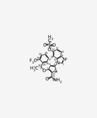 C[C@@H](Oc1cc(-n2cnc3ccc(OS(C)(=O)=O)cc32)sc1C(N)=O)c1ccccc1C(F)(F)F